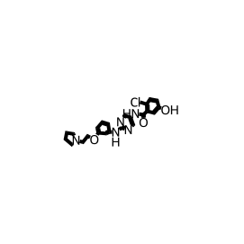 O=C(Nc1cnc(Nc2cccc(OCCN3CCCC3)c2)nc1)c1cc(O)ccc1Cl